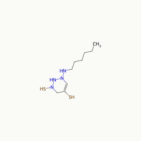 CCCCCCNN1C=C(S)CN(S)N1